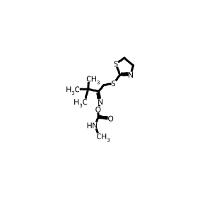 CNC(=O)ON=C(CSC1=NCCS1)C(C)(C)C